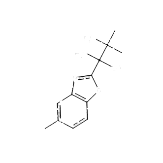 BC(B)(c1nc2cc(C)ccc2o1)C(C)(C)C(F)(F)F